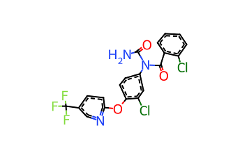 NC(=O)N(C(=O)c1ccccc1Cl)c1ccc(Oc2ccc(C(F)(F)F)cn2)c(Cl)c1